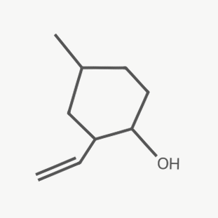 C=CC1CC(C)CCC1O